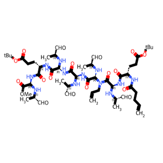 C=CCCC(=O)N[C@@H](CCC(=O)OC(C)(C)C)C(=O)N[C@@H](N[C@@H](C)C=O)C(=O)N(CC=C)[C@@H](N[C@@H](C)C=O)C(=O)N[C@@H](N[C@@H](C)C=O)C(=O)N[C@@H](N[C@@H](C)C=O)C(=O)N[C@@H](CCC(=O)OC(C)(C)C)C(=O)N[C@@H](N[C@@H](C)C=O)C(=O)OC